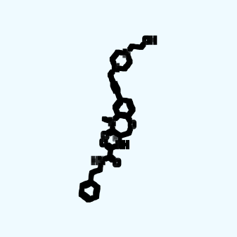 CN1C(=O)[C@@H](NC(=O)C(=O)NCCc2ccccc2)COc2ccc(C#CCN3CCN(CCO)CC3)cc21